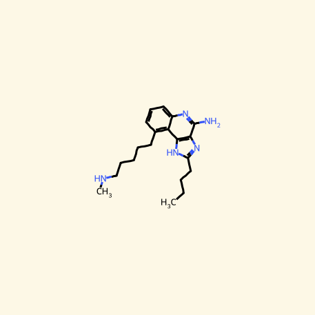 CCCCc1nc2c(N)nc3cccc(CCCCCNC)c3c2[nH]1